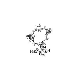 C1=Cc2cc3ccc(cc4nc(cc5ccc(cc1n2)[nH]5)C=C4)[nH]3.OC[C@H]1OC[C@H](O)[C@@H]1O